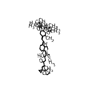 C=C1/C(=C\C=C2/CCC[C@]3(C)[C@@H]([C@H](C)C(O)CC(=O)CCC4(C5(C)OCCO5)CC4)CC[C@@H]23)C[C@@H](O[Si](C)(C)C(C)(C)C)C[C@@H]1O[Si](C)(C)C(C)(C)C